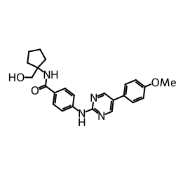 COc1ccc(-c2cnc(Nc3ccc(C(=O)NC4(CO)CCCC4)cc3)nc2)cc1